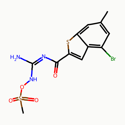 Cc1cc(Br)c2cc(C(=O)N=C(N)NOS(C)(=O)=O)sc2c1